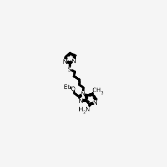 CCOCc1nc2c(N)ncc(C)c2n1CCCCCSc1ncccn1